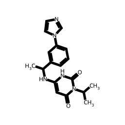 CC(Nc1cc(=O)n(C(C)C)c(=O)[nH]1)c1cccc(-n2ccnc2)c1